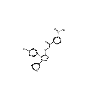 O=C(CSc1nnc(-c2cccnc2)n1-c1ccc(Br)cc1)c1cccc([N+](=O)O)c1